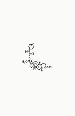 C[C@H](CCC(=O)Nc1ccncc1)[C@H]1CC[C@H]2[C@@H]3CC[C@H]4C[C@@H](O)CC[C@]4(C)[C@H]3CC[C@]12C